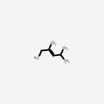 CCC(C)=CC(C)C